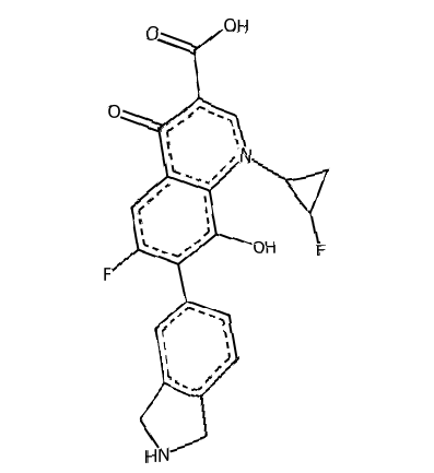 O=C(O)c1cn(C2CC2F)c2c(O)c(-c3ccc4c(c3)CNC4)c(F)cc2c1=O